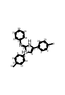 Cc1ccc(C2=C[SH](c3ccc(C)cc3)C(=Nc3ccccc3)N2)cc1